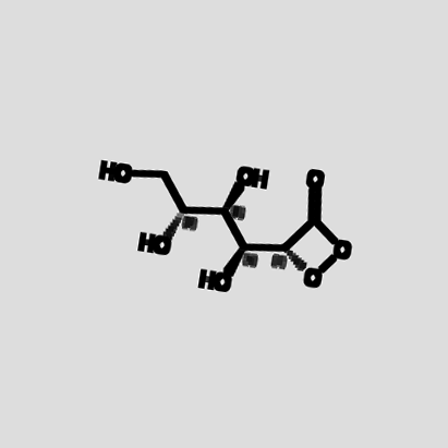 O=C1OO[C@@H]1[C@@H](O)[C@H](O)[C@H](O)CO